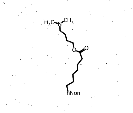 CCCCCCCCCCCCCCCC(=O)OCCCCN(C)C